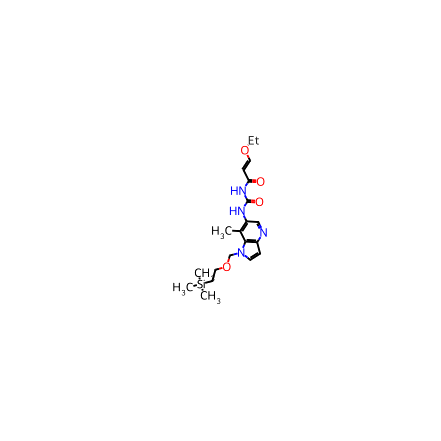 CCO/C=C/C(=O)NC(=O)Nc1cnc2ccn(COCC[Si](C)(C)C)c2c1C